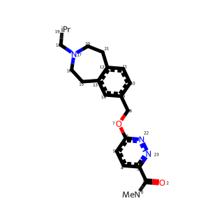 CNC(=O)c1ccc(OCc2ccc3c(c2)CCN(CC(C)C)CC3)nn1